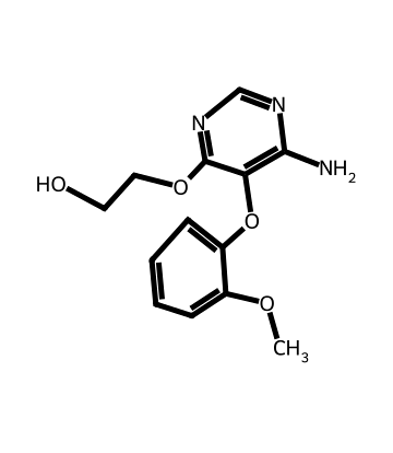 COc1ccccc1Oc1c(N)ncnc1OCCO